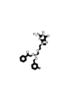 Nc1nc2c(ncn2CCOCP(OCC(=O)c2ccccc2)OCc2cccc(F)c2)c(=O)[nH]1